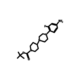 CC(C)(C)OC(=O)N1CCC(N2CCN(c3ccc(N)cc3F)CC2)CC1